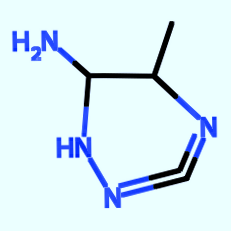 CC1N=C=NNC1N